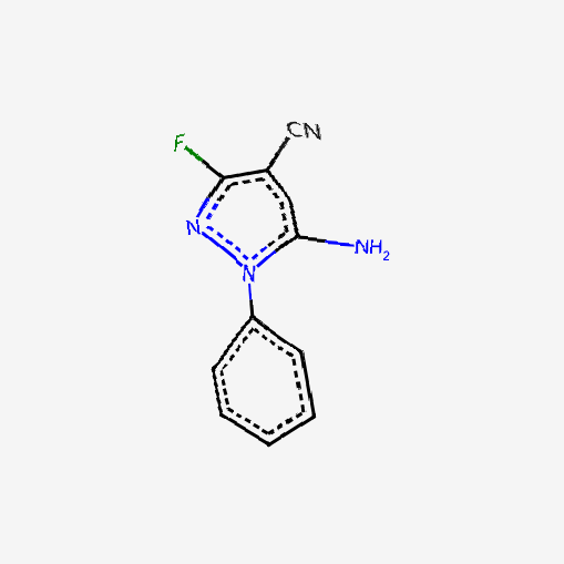 N#Cc1c(F)nn(-c2ccccc2)c1N